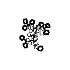 O=C(OC(c1ccccc1)c1ccccc1)C1=C(Sc2nc3ccccc3s2)CS[C@@H]2C(NC(=O)/C(=N\OC(c3ccccc3)(c3ccccc3)c3ccccc3)c3csc(NC(c4ccccc4)(c4ccccc4)c4ccccc4)n3)C(=O)N12